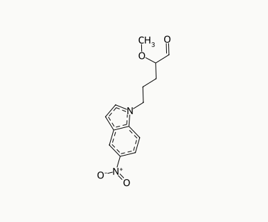 COC(C=O)CCCn1ccc2cc([N+](=O)[O-])ccc21